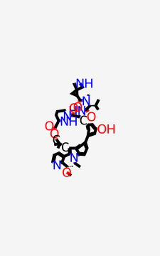 CCn1c(-c2cccnc2[C@H](C)OC)c2c3cc(ccc31)-c1cc(O)cc(c1)C[C@H](NC(=O)[C@H](C(C)C)N(C)C(=O)C1CC13CNC3)C(=O)N1CCC[C@@](C)(N1)C(=O)OCC(C)(C)C2